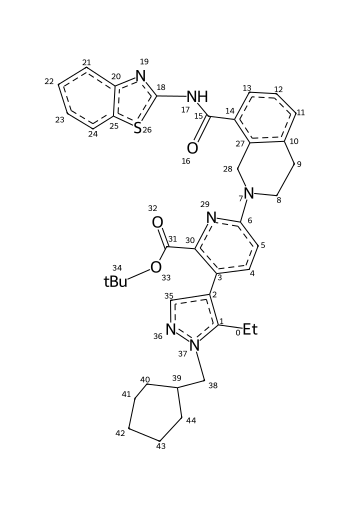 CCc1c(-c2ccc(N3CCc4cccc(C(=O)Nc5nc6ccccc6s5)c4C3)nc2C(=O)OC(C)(C)C)cnn1CC1CCCCC1